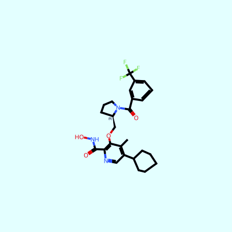 Cc1c(C2CCCCC2)cnc(C(=O)NO)c1OC[C@H]1CCCN1C(=O)c1cccc(C(F)(F)F)c1